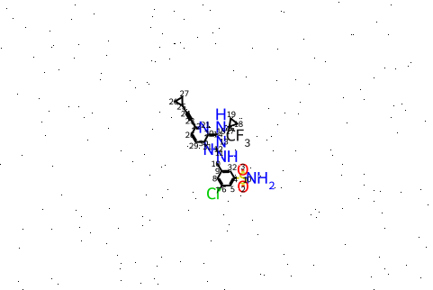 NS(=O)(=O)c1cc(Cl)cc(CNc2nc(NC3(C(F)(F)F)CC3)c3nc(C#CC4CC4)ccc3n2)c1